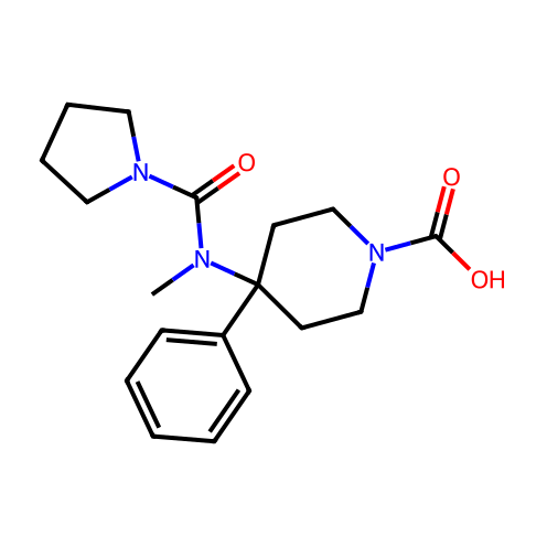 CN(C(=O)N1CCCC1)C1(c2ccccc2)CCN(C(=O)O)CC1